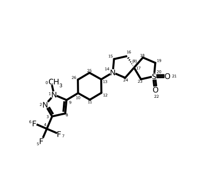 Cn1nc(C(F)(F)F)cc1C1CCC(N2CC[C@@]3(CCS(=O)(=O)C3)C2)CC1